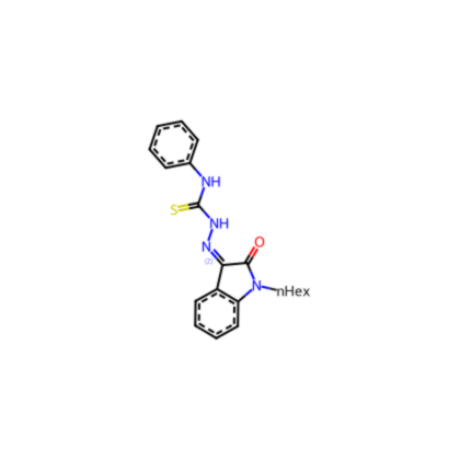 CCCCCCN1C(=O)/C(=N\NC(=S)Nc2ccccc2)c2ccccc21